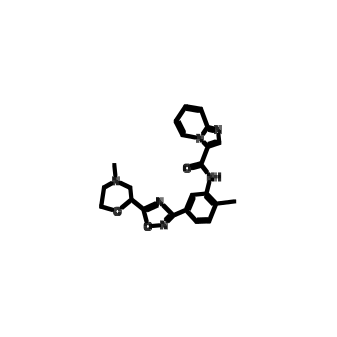 Cc1ccc(-c2noc(C3CN(C)CCO3)n2)cc1NC(=O)c1cnc2ccccn12